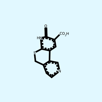 O=C(O)c1cc2c([nH]c1=O)SCc1ccncc1-2